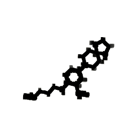 COCCCOc1ccc(N2CCC3(CC2)OCCO3)cc1OC